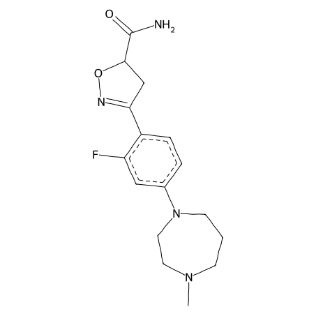 CN1CCCN(c2ccc(C3=NOC(C(N)=O)C3)c(F)c2)CC1